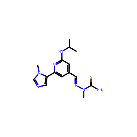 CC(C)Nc1cc(C=NN(C)C(N)=S)cc(-c2cncn2C)n1